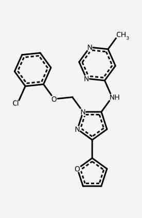 Cc1cc(Nc2cc(-c3ccco3)nn2COc2ccccc2Cl)ncn1